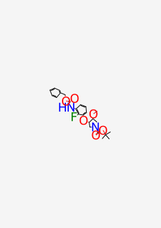 COC1CN(C(=O)OC(C)(C)C)CC1Oc1cccc(NC(=O)OCc2ccccc2)c1F